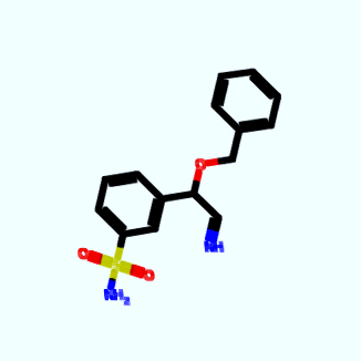 N=CC(OCc1ccccc1)c1cccc(S(N)(=O)=O)c1